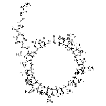 CC[C@@H]1NC(=O)[C@H]([C@H](O)[C@H](C)C/C=C/c2ccc(C(=O)NCCOCCN)cc2)N(C)C(=O)[C@H](C(C)C)N(C)C(=O)C(CC(C)C)N(C)C(=O)[C@H](CC(C)C)N(C)C(=O)[C@@H](C)NC(=O)[C@H](C)NC(=O)[C@H](CC(C)C)N(C)C(=O)[C@H](C(C)C)NC(=O)[C@H](CC(C)C)N(C)C(=O)CN(C)C1=O